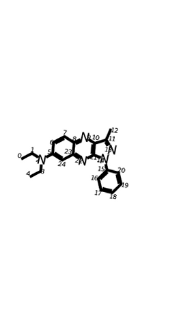 CCN(CC)c1ccc2nc3c(C)nn(-c4ccccc4)c3nc2c1